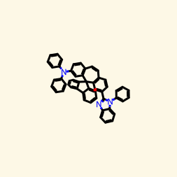 C1=Cc2ccc(N(c3ccccc3)c3ccccc3)cc2C2(c3cc(-c4nc5ccccc5n4-c4ccccc4)ccc31)c1ccccc1-c1ccccc12